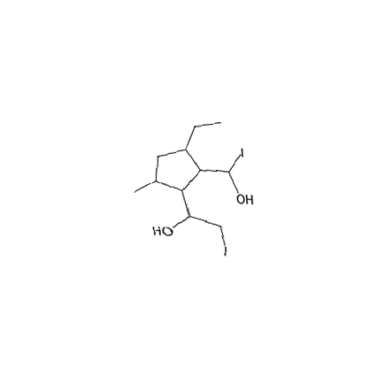 CCC1CC(C)C(C(O)CI)C1C(O)I